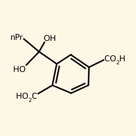 CCCC(O)(O)c1cc(C(=O)O)ccc1C(=O)O